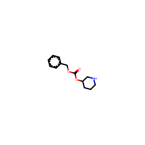 O=C(OCc1ccccc1)OC1CCCNC1